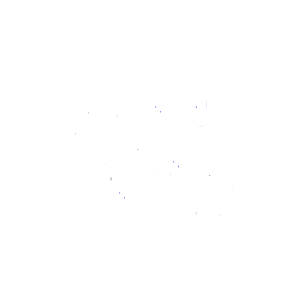 N#Cc1ccccc1-c1cn(-c2ccccc2)c2c(=O)[nH]cnc12